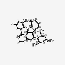 Cc1cc(C(C)(C)C)c2c(c1)c1nccc3cc(-c4c(C(C)C)cc(C(C)C)cc4C(C)C)c4c5ccccc5n2c4c31